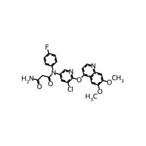 COc1cc2nccc(Oc3ncc(N(C(=O)CC(N)=O)c4ccc(F)cc4)cc3Cl)c2cc1OC